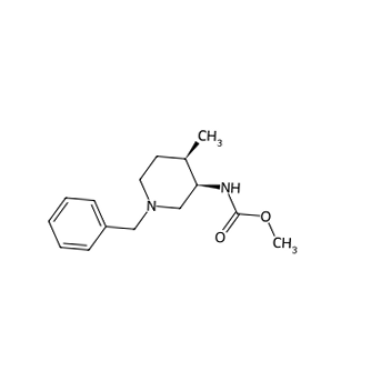 COC(=O)N[C@H]1CN(Cc2ccccc2)CC[C@H]1C